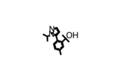 Cc1ccc(-c2ccnn2C(C)C)c(C(C)(C)O)c1